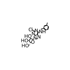 Cc1cccc(CNc2nc(Cl)nc3c2ncn3[C@@H]2O[C@H](CO)[C@@H](O)[C@H]2O)c1